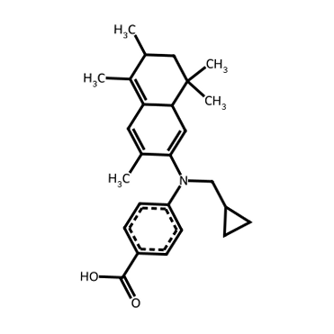 CC1=CC2=C(C)C(C)CC(C)(C)C2C=C1N(CC1CC1)c1ccc(C(=O)O)cc1